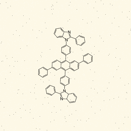 C1=CC2N=C(c3ccccc3)N(c3ccc(-c4c5ccc(-c6ccccc6)cc5c(-c5ccc(-n6c(-c7ccccc7)nc7ccccc76)cc5)c5ccc(-c6ccccc6)cc45)cc3)C2C=C1